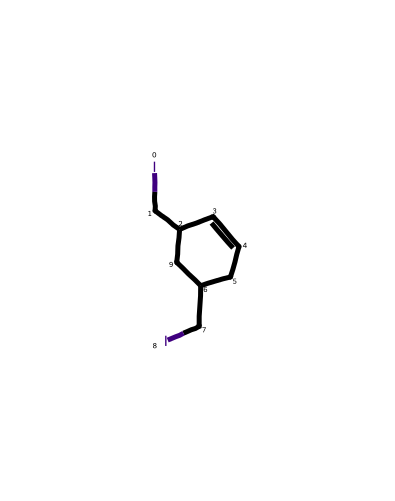 ICC1C=CCC(CI)C1